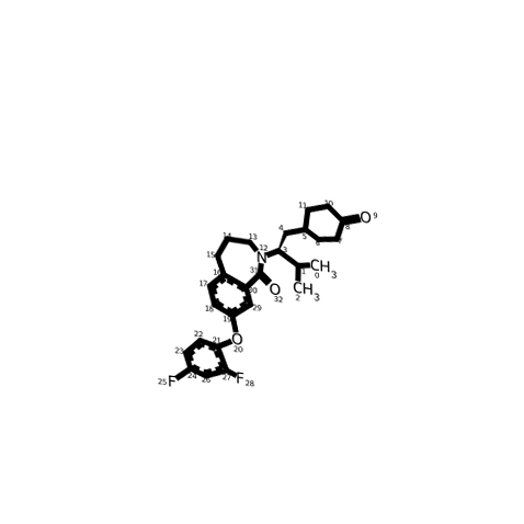 CC(C)[C@H](CC1CCC(=O)CC1)N1CCCc2ccc(Oc3ccc(F)cc3F)cc2C1=O